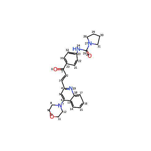 O=C(C=Cc1cc(N2CCOCC2)c2ccccc2n1)c1ccc(NC(=O)N2CCCC2)cc1